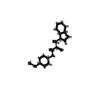 CCOc1ccc(SNC(=O)Nc2noc3ccccc23)cc1